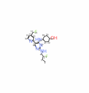 CC[C@H](F)CNc1ncc(-c2cc(CF)ccn2)c(N[C@H]2CC[C@H](O)CC2)n1